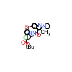 Cc1c(N2CCCCC2)nc2ccc(Br)cc2c1C(=O)NCC(CCC(=O)OC(C)(C)C)c1ccccc1Cl